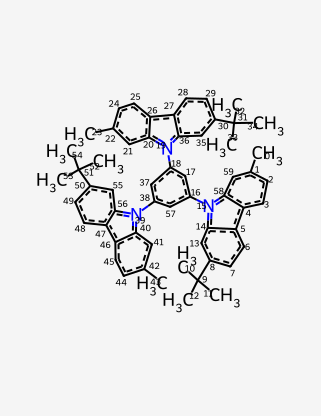 Cc1ccc2c3ccc(C(C)(C)C)cc3n(-c3cc(-n4c5cc(C)ccc5c5ccc(C(C)(C)C)cc54)cc(-n4c5cc(C)ccc5c5ccc(C(C)(C)C)cc54)c3)c2c1